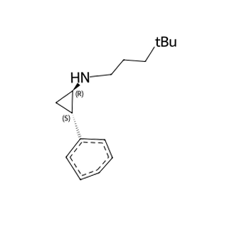 CC(C)(C)CCCN[C@@H]1C[C@H]1c1ccccc1